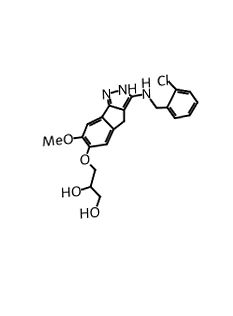 COc1cc2c(cc1OCC(O)CO)Cc1c-2n[nH]c1NCc1ccccc1Cl